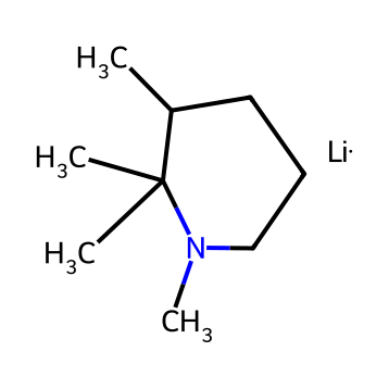 CC1CCCN(C)C1(C)C.[Li]